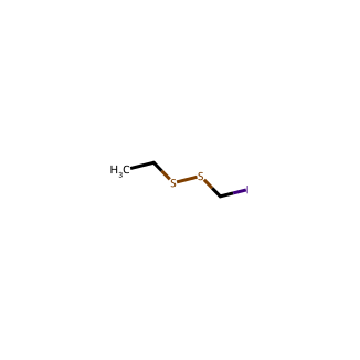 CCSSCI